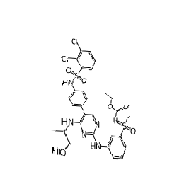 CCOC(=O)N=S(C)(=O)c1cccc(Nc2ncc(-c3ccc(NS(=O)(=O)c4cccc(Cl)c4Cl)cc3)c(NC(C)CO)n2)c1